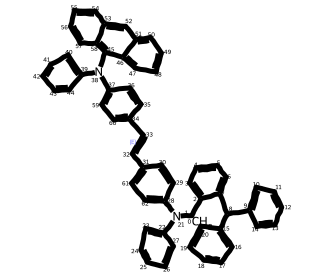 C=C(c1ccccc1C(c1ccccc1)c1ccccc1)N(c1ccccc1)c1ccc(/C=C/c2ccc(N(c3ccccc3)c3c4ccccc4cc4ccccc34)cc2)cc1